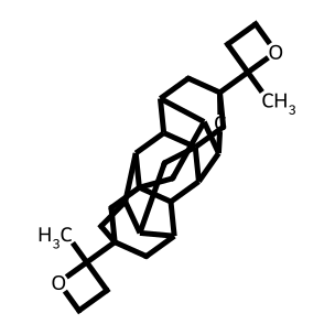 CC1(C23CC4C5CC67CC8(C9(C)CCO9)CC9C%10CC(C2)(C4C96)C(C5C3)C7C%10C8)CCO1